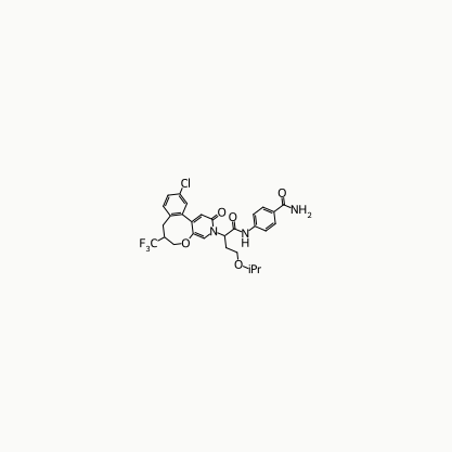 CC(C)OCCC(C(=O)Nc1ccc(C(N)=O)cc1)n1cc2c(cc1=O)-c1cc(Cl)ccc1CC(C(F)(F)F)CO2